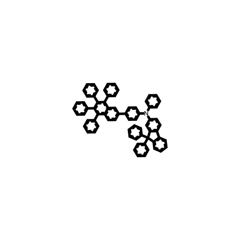 c1ccc(-c2c(-c3ccccc3)c(-c3ccccc3)c3cc(-c4ccc(N(c5ccccc5)c5ccc6c(c5)C(c5ccccc5)(c5ccccc5)c5ccccc5-6)cc4)ccc3c2-c2ccccc2)cc1